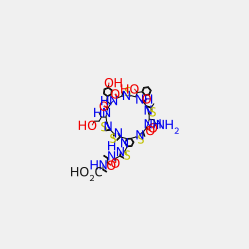 C=C(NC(=O)C(=C)NC(=O)c1csc(-c2ccc3c(n2)-c2csc(n2)-c2csc(n2)C(C(C)CCO)NC(=O)C(Cc2ccc(O)cc2)NC(=O)c2csc(n2)C(C(O)c2ccccc2)NC(=O)c2nc(sc2C)C(CC(N)=O)NC(=O)c2csc-3n2)n1)C(=O)O